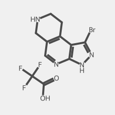 Brc1n[nH]c2ncc3c(c12)CCNC3.O=C(O)C(F)(F)F